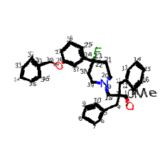 COC(=O)C(Cc1ccccc1)(Cc1ccccc1)CN1CCC(F)(c2cccc(OCc3ccccc3)c2)CC1